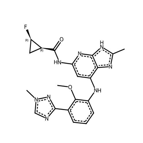 COc1c(Nc2cc(NC(=O)[C@H]3C[C@H]3F)nc3[nH]c(C)nc23)cccc1-c1ncn(C)n1